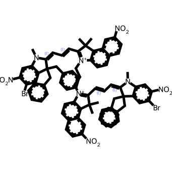 CN1/C(=C/C=C/C2=[N+](CCC[N+]3=C(/C=C/C=C4/N(C)c5cc([N+](=O)[O-])c(Br)cc5C4(Cc4ccccc4)Cc4ccccc4)C(C)(C)c4c3ccc3ccc([N+](=O)[O-])cc43)c3ccc4ccc([N+](=O)[O-])cc4c3C2(C)C)C(Cc2ccccc2)(Cc2ccccc2)c2cc(Br)c([N+](=O)[O-])cc21